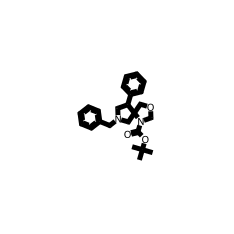 CC(C)(C)OC(=O)N1COCC12CN(Cc1ccccc1)CC2c1ccccc1